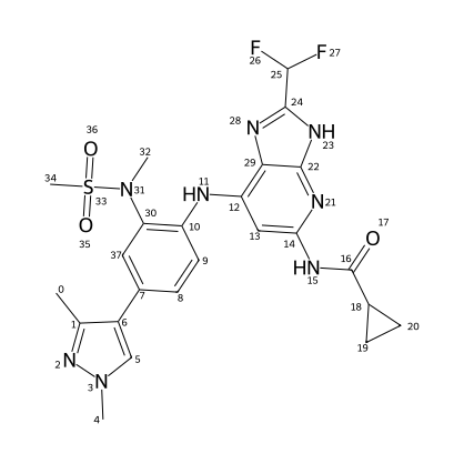 Cc1nn(C)cc1-c1ccc(Nc2cc(NC(=O)C3CC3)nc3[nH]c(C(F)F)nc23)c(N(C)S(C)(=O)=O)c1